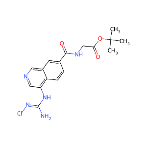 CC(C)(C)OC(=O)CNC(=O)c1ccc2c(NC(N)=NCl)cncc2c1